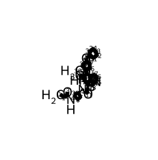 C=CC(=O)NC1CC[C@H](NC(=O)c2sc3nccc4c3c2NC(=O)N4c2ccc(Oc3ccccc3)cc2C)C1